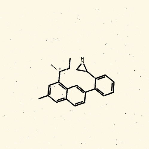 CC[C@@H](C)c1cc(C)cc2ccc(-c3ccccc3C3CN3)cc12